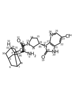 NC(=O)[C@]12CC3CC(C1)C(OC(=O)N1CC[C@@H](n4c(=O)[nH]c5cc(Cl)cnc54)C1)[C@@H](C3)C2